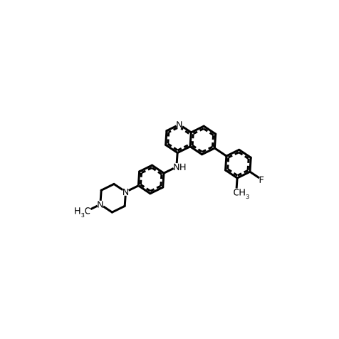 Cc1cc(-c2ccc3nccc(Nc4ccc(N5CCN(C)CC5)cc4)c3c2)ccc1F